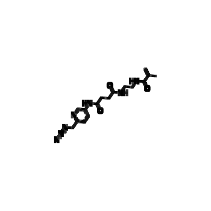 C=C(C)C(=O)NCCNC(=O)CCC(=O)Nc1ccc(CN=[N+]=[N-])nc1